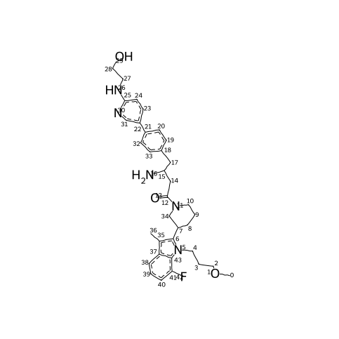 COCCCn1c(C2CCCN(C(=O)CC(N)Cc3ccc(-c4ccc(NCCO)nc4)cc3)C2)c(C)c2cccc(F)c21